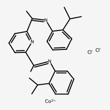 CC(=Nc1ccccc1C(C)C)c1cccc(C(C)=Nc2ccccc2C(C)C)n1.[Cl-].[Cl-].[Co+2]